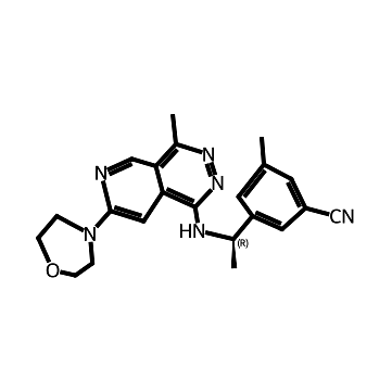 Cc1cc(C#N)cc([C@@H](C)Nc2nnc(C)c3cnc(N4CCOCC4)cc23)c1